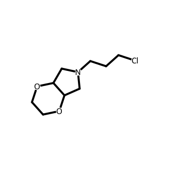 ClCCCN1CC2OCCOC2C1